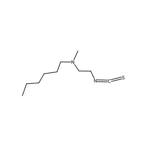 CCCCCCN(C)CCN=C=S